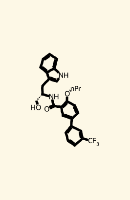 CCCOc1ccc(-c2cccc(C(F)(F)F)c2)cc1C(=O)N[C@H](CO)Cc1c[nH]c2ccccc12